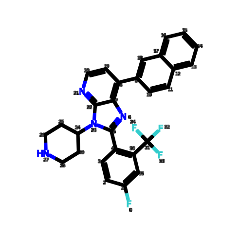 Fc1ccc(-c2nc3c(-c4ccc5ccccc5c4)ccnc3n2C2CCNCC2)c(C(F)(F)F)c1